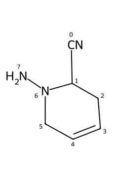 N#CC1CC=CCN1N